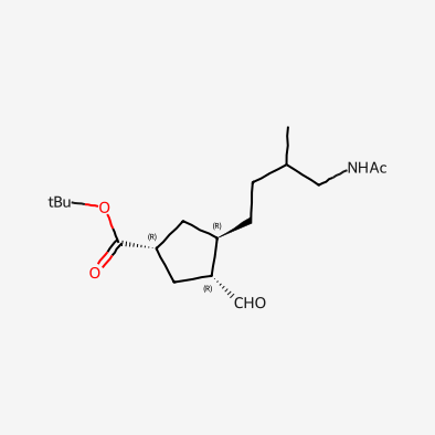 CC(=O)NCC(C)CC[C@@H]1C[C@@H](C(=O)OC(C)(C)C)C[C@H]1C=O